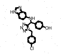 Oc1ccc(C(Nc2ccc3[nH]cnc3c2)c2nnnn2Cc2ccc(Cl)cc2)cc1